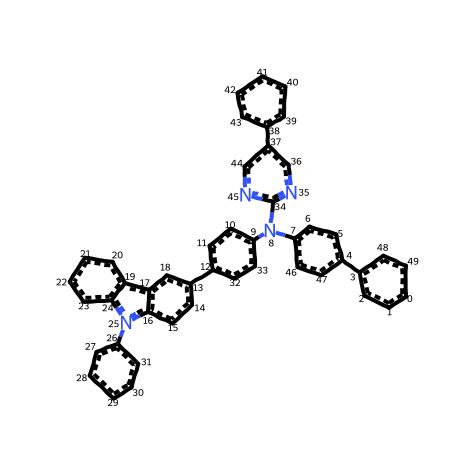 c1ccc(-c2ccc(N(c3ccc(-c4ccc5c(c4)c4ccccc4n5-c4ccccc4)cc3)c3ncc(-c4ccccc4)cn3)cc2)cc1